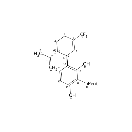 C=C(C)[C@@H]1CCC(C(F)(F)F)=C[C@H]1c1ccc(O)c(CCCCC)c1O